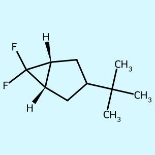 CC(C)(C)C1C[C@@H]2[C@H](C1)C2(F)F